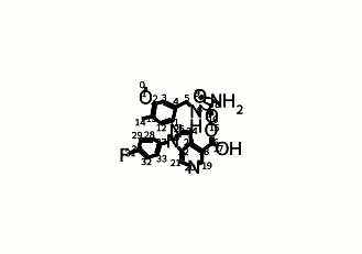 COc1cc(CNS(N)(=O)=O)ccc1C.O=C(O)c1cncc2c1cnn2-c1ccc(F)cc1